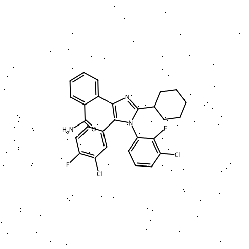 NC(=O)c1ccccc1-c1nc(C2CCCCC2)n(-c2cccc(Cl)c2F)c1-c1ccc(F)c(Cl)c1